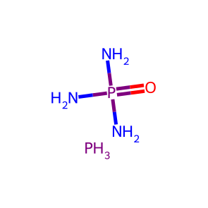 NP(N)(N)=O.P